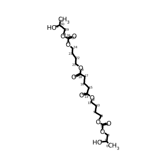 CC(O)COC(=O)OCCCCOC(=O)CCCC(=O)OCCCCOC(=O)OCC(C)O